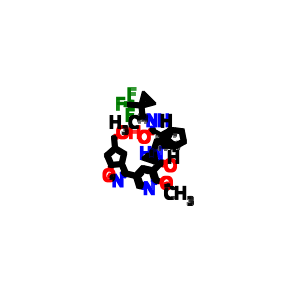 COc1ncc(C2=NOC3CC(CO)CC23)cc1C(=O)N[C@H]1[C@@H](C(=O)N[C@H](C)C2(C(F)(F)F)CC2)[C@H]2CC[C@@H]1/C2=C\C1CC1